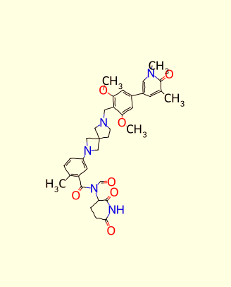 COc1cc(-c2cc(C)c(=O)n(C)c2)cc(OC)c1CN1CCC2(C1)CN(c1ccc(C)c(C(=O)N(C=O)C3CCC(=O)NC3=O)c1)C2